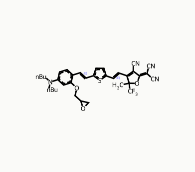 CCCCN(CCCC)c1ccc(/C=C/c2ccc(/C=C/C3=C(C#N)C(=C(C#N)C#N)OC3(C)C(F)(F)F)s2)c(OCC2CO2)c1